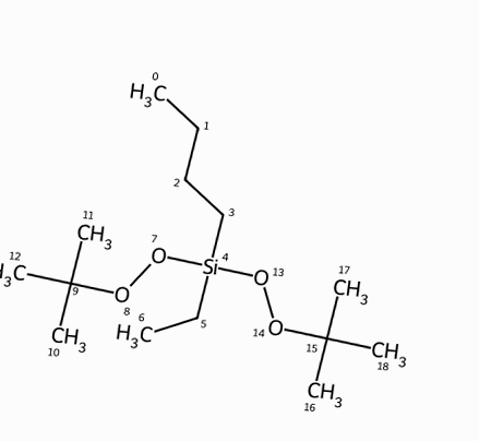 CCCC[Si](CC)(OOC(C)(C)C)OOC(C)(C)C